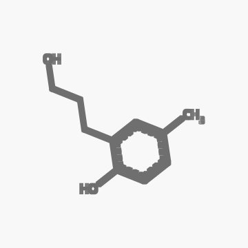 Cc1ccc(O)c(CCCO)c1